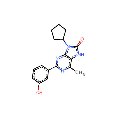 Cc1nc(-c2cccc(O)c2)nc2c1[nH]c(=O)n2C1CCCC1